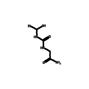 CCC(S)NC(=O)NCC(N)=O